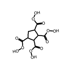 O=C(OO)C1CC(C(=O)OO)C(C(=O)OO)C1C(=O)OO